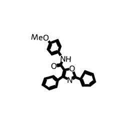 COc1ccc(NC(=O)c2oc(-c3ccccc3)nc2-c2ccccc2)cc1